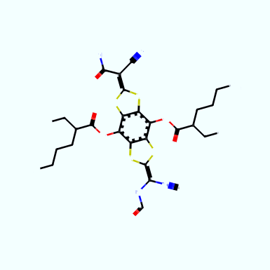 [C-]#[N+]C(NC=O)=C1Sc2c(OC(=O)C(CC)CCCC)c3c(c(OC(=O)C(CC)CCCC)c2S1)SC(=C(C#N)C(N)=O)S3